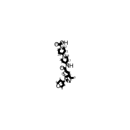 Cc1nn(C2CCOCC2)c2sc(C(=O)NC3CCN(C4CCN(C(=O)O)CC4)CC3)cc12